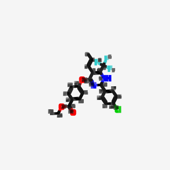 C/C=C/C1=C(C(F)(F)F)NC(c2ccc(Cl)cc2)N=C1Oc1ccc(C(=O)OCC)cc1